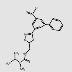 CC(C)N(C)C(=S)NCC1CC(c2cc(-c3ccccc3)cc([N+](=O)[O-])c2)=NO1